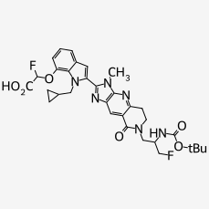 Cn1c(-c2cc3cccc(OC(F)C(=O)O)c3n2CC2CC2)nc2cc3c(nc21)CCN(CC(CF)NC(=O)OC(C)(C)C)C3=O